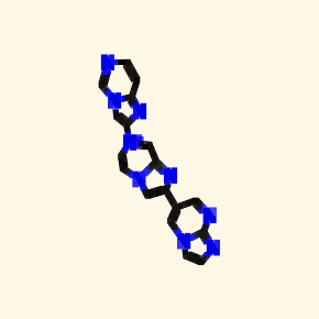 c1cc2nc(-[n+]3ccn4cc(-c5cnc6nccn6c5)nc4c3)cn2cn1